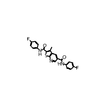 Cc1c(C(=O)Nc2ccc(F)cc2)sc2ncc(C(=O)Nc3ccc(F)cc3)cc12